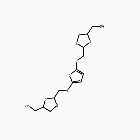 SCC1CSC(CSc2ccc(SCC3SCC(CS)S3)s2)S1